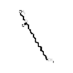 CCCCCC=CCCCCCCCCCCC(=O)OCCCC